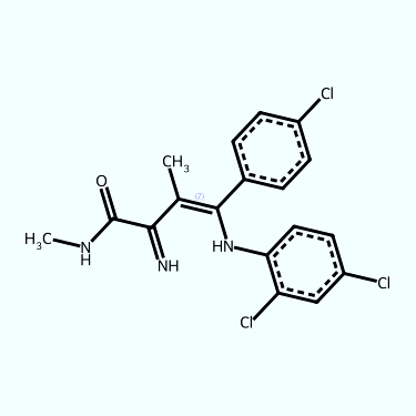 CNC(=O)C(=N)/C(C)=C(\Nc1ccc(Cl)cc1Cl)c1ccc(Cl)cc1